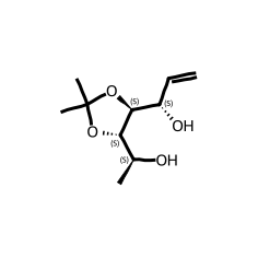 C=C[C@H](O)[C@@H]1OC(C)(C)O[C@H]1[C@H](C)O